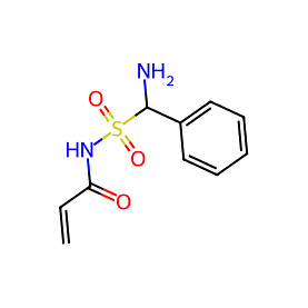 C=CC(=O)NS(=O)(=O)C(N)c1ccccc1